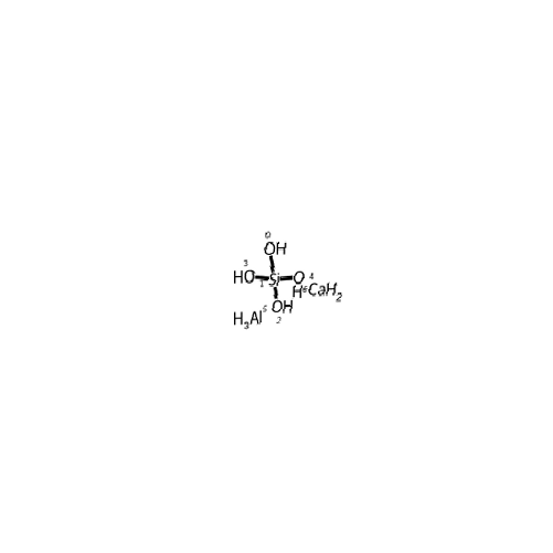 O[Si](O)(O)O.[AlH3].[CaH2]